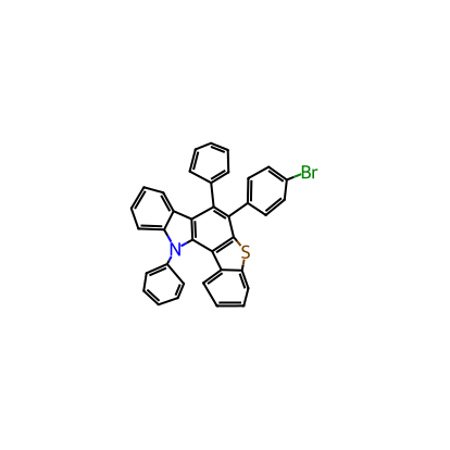 Brc1ccc(-c2c(-c3ccccc3)c3c4ccccc4n(-c4ccccc4)c3c3c2sc2ccccc23)cc1